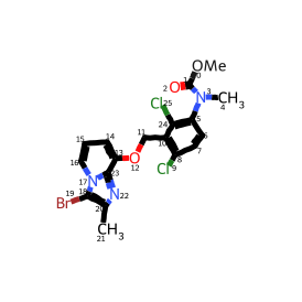 COC(=O)N(C)c1ccc(Cl)c(COc2cccn3c(Br)c(C)nc23)c1Cl